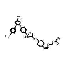 Cc1ccc(-c2cc(C(F)(F)F)nn2-c2ccc(S(=O)(=O)NC(=O)OCC3CCN(/N=N\OCOC(=O)C(C)C)CC3)cc2)cc1